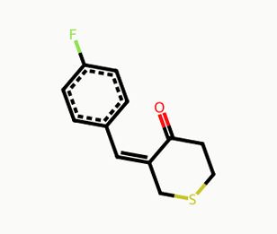 O=C1CCSCC1=Cc1ccc(F)cc1